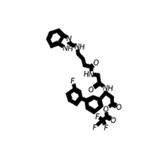 O=C(CCCNc1nc2ccccc2[nH]1)NCC(=O)NC(CC(=O)OC(=O)C(F)(F)F)c1cccc(-c2cccc(F)c2)c1